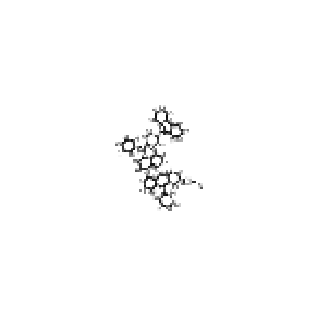 Cc1ccc2c(-c3cccc4c(N(c5ccccc5)c5ccc(-n6c7ccccc7c7ccccc76)cc5)cccc34)c3ccccc3c(-c3ccccc3)c2c1